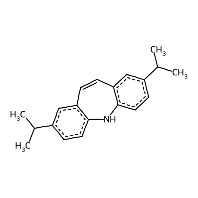 CC(C)c1ccc2c(c1)C=Cc1cc(C(C)C)ccc1N2